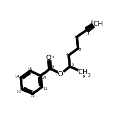 C#CCCCC(C)OC(=O)c1ccccc1